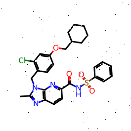 Cc1nc2ccc(C(=O)NS(=O)(=O)c3ccccc3)nc2n1Cc1ccc(OCC2CCCCC2)cc1Cl